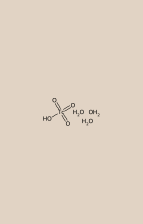 O.O.O.[O]=[Tc](=[O])(=[O])[OH]